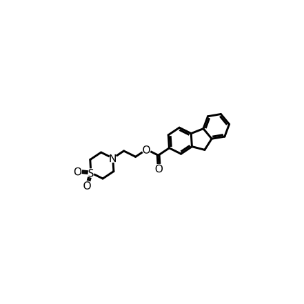 O=C(OCCN1CCS(=O)(=O)CC1)c1ccc2c(c1)Cc1ccccc1-2